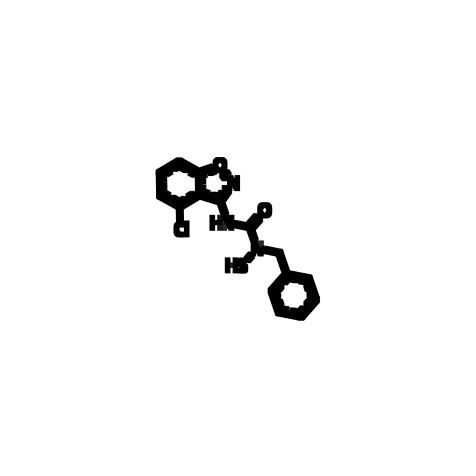 O=C(Nc1noc2cccc(Cl)c12)N(S)Cc1ccccc1